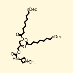 CCCCCCCCCCCCCCCCCC(=O)OCC(COC(=O)NC1CN(C)C1)OC(=O)CCCCCCCCCCCCCCCCC